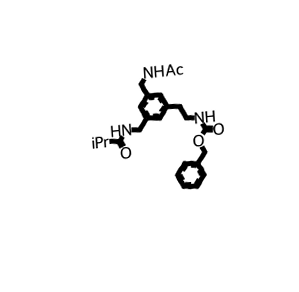 CC(=O)NCc1cc(CCNC(=O)OCc2ccccc2)cc(CNC(=O)C(C)C)c1